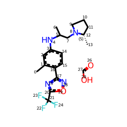 Cc1cc(NC(C)CN2CCC[C@@H]2C)ccc1-c1noc(C(F)(F)F)n1.O=CO